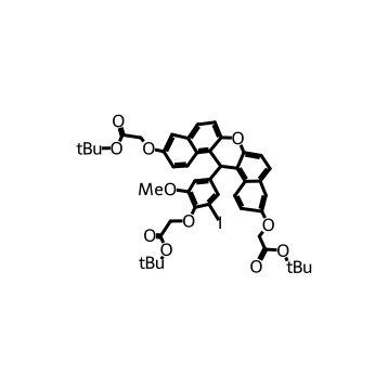 COc1cc(C2c3c(ccc4cc(OCC(=O)OC(C)(C)C)ccc34)Oc3ccc4cc(OCC(=O)OC(C)(C)C)ccc4c32)cc(I)c1OCC(=O)OC(C)(C)C